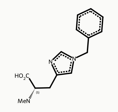 CN[C@@H](Cc1cn(Cc2ccccc2)cn1)C(=O)O